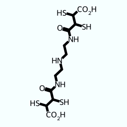 O=C(O)C(S)C(S)C(=O)NCCNCCNC(=O)C(S)C(S)C(=O)O